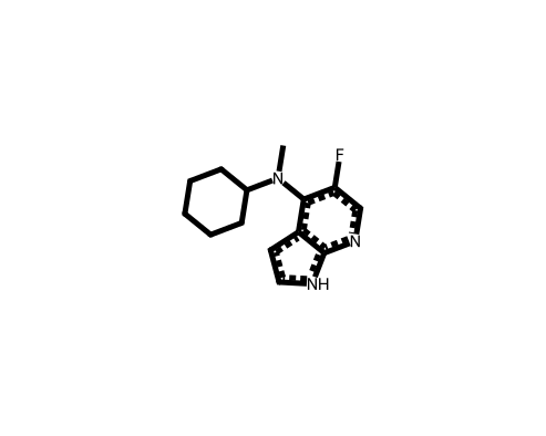 CN(c1c(F)cnc2[nH]ccc12)C1CCCCC1